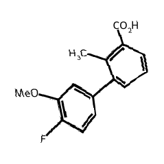 COc1cc(-c2cccc(C(=O)O)c2C)ccc1F